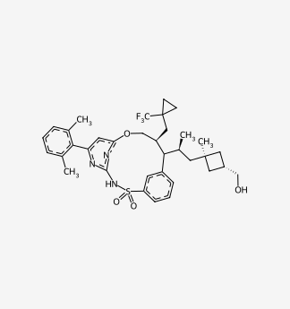 Cc1cccc(C)c1-c1cc2nc(n1)NS(=O)(=O)c1cccc(c1)C([C@@H](C)C[C@]1(C)C[C@@H](CO)C1)[C@H](CC1(C(F)(F)F)CC1)CO2